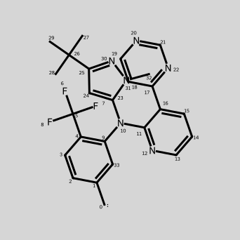 [CH]c1ccc(C(F)(F)F)c(N(c2ncccc2-c2ccncn2)c2cc(C(C)(C)C)nn2C)c1